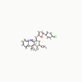 CC1C/C(=C\c2ccc(-c3ccc(Cl)cc3)o2)c2nc3ccccc3c(C(=O)O)c2C1